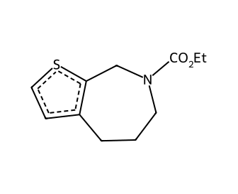 CCOC(=O)N1CCCc2ccsc2C1